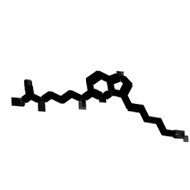 CCCC/C=C/c1cnc2ccc(NCCCNC(=O)O)nn12